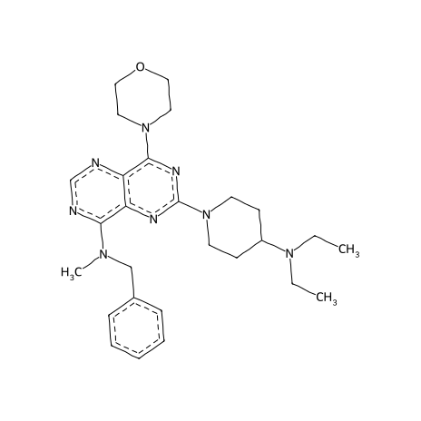 CCN(CC)C1CCN(c2nc(N3CCOCC3)c3ncnc(N(C)Cc4ccccc4)c3n2)CC1